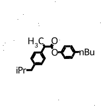 CCCCc1ccc(OC(=O)C(C)c2ccc(CC(C)C)cc2)cc1